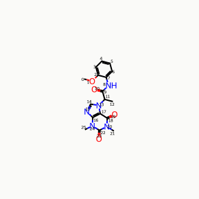 COc1ccccc1NC(=O)C(C)n1cnc2c1c(=O)n(C)c(=O)n2C